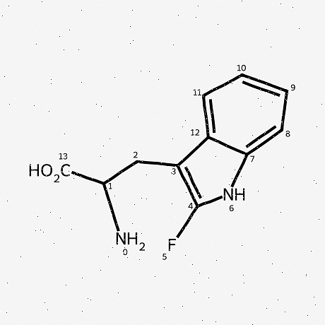 NC(Cc1c(F)[nH]c2ccccc12)C(=O)O